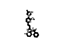 COc1nc(/C=C/c2nc3n(n2)[C@H](C)CC[C@H]3c2ccccc2C(F)(F)F)ccc1N1C=C(C)NC1